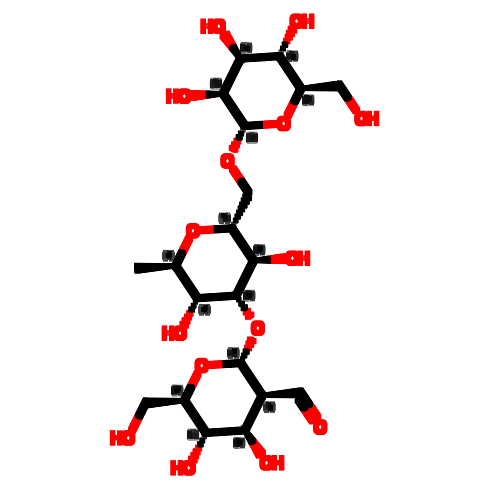 C[C@H]1O[C@H](CO[C@H]2O[C@H](CO)[C@@H](O)[C@H](O)[C@@H]2O)[C@@H](O)[C@H](O[C@H]2O[C@H](CO)[C@@H](O)[C@H](O)[C@@H]2C=O)[C@@H]1O